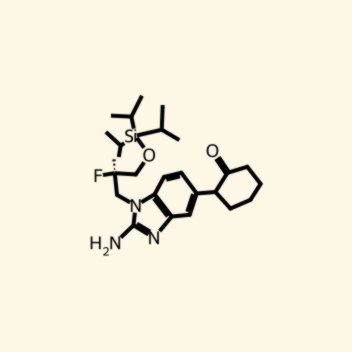 CC(C)[Si](OC[C@](C)(F)Cn1c(N)nc2cc(C3CCCCC3=O)ccc21)(C(C)C)C(C)C